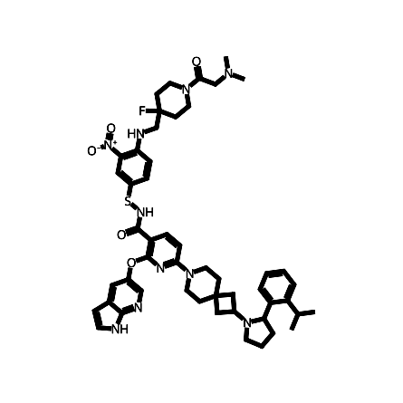 CC(C)c1ccccc1C1CCCN1C1CC2(CCN(c3ccc(C(=O)NSc4ccc(NCC5(F)CCN(C(=O)CN(C)C)CC5)c([N+](=O)[O-])c4)c(Oc4cnc5[nH]ccc5c4)n3)CC2)C1